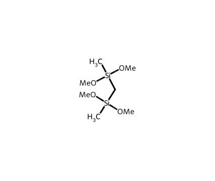 CO[Si](C)(C[Si](C)(OC)OC)OC